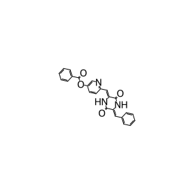 O=C(Oc1ccc(C=c2[nH]c(=O)c(=Cc3ccccc3)[nH]c2=O)nc1)c1ccccc1